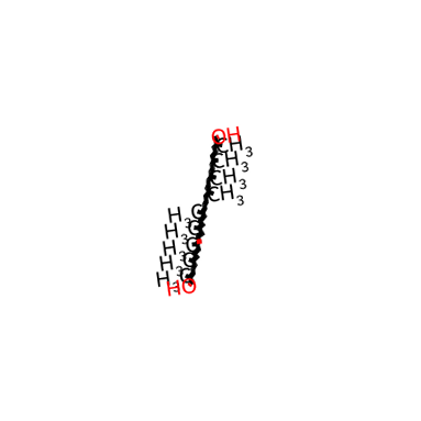 CC(/C=C/C=C(C)/C=C/C=C(C)/C=C/C=C(\C)CC/C=C(\C)CO)=C\C=C\C=C(C)\C=C\C=C(C)\C=C\C=C(/C)CC/C=C(\C)CO